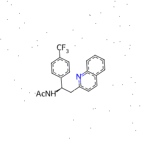 CC(=O)N[C@H](Cc1ccc2ccccc2n1)c1ccc(C(F)(F)F)cc1